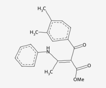 COC(=O)C(C(=O)c1ccc(C)c(C)c1)=C(C)Nc1ccccc1